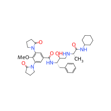 COc1c(N2CCCC2=O)cc(C(=O)N[C@@H](Cc2ccccc2)[C@@H](O)CN[C@@H](C)C(=O)NC2CCCCC2)cc1N1CCCC1=O